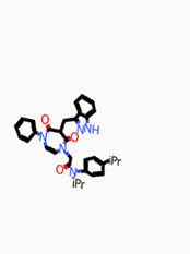 CC(C)c1ccc(N(C(=O)CN2C=CN(c3ccccc3)C(=O)C(Cc3n[nH]c4ccccc34)C2=O)C(C)C)cc1